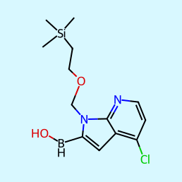 C[Si](C)(C)CCOCn1c(BO)cc2c(Cl)ccnc21